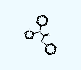 O=C(Oc1ccccc1)N(c1ccccc1)c1cccs1